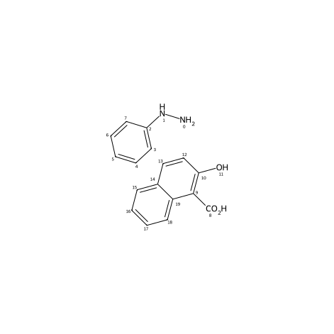 NNc1ccccc1.O=C(O)c1c(O)ccc2ccccc12